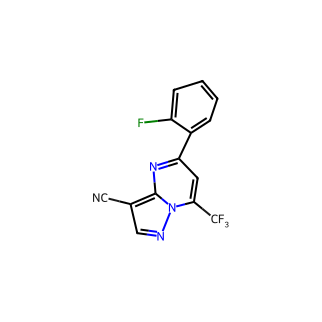 N#Cc1cnn2c(C(F)(F)F)cc(-c3ccccc3F)nc12